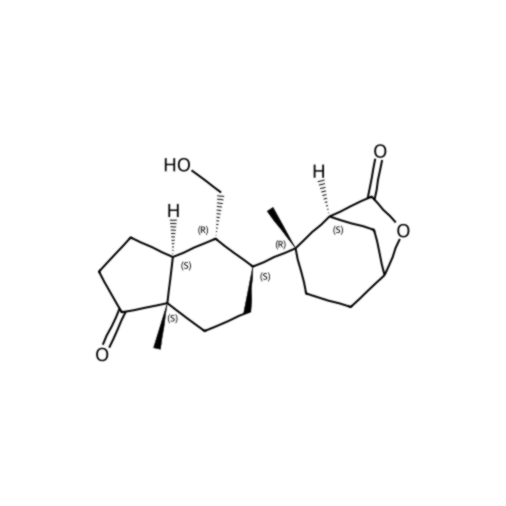 C[C@]1([C@H]2CC[C@]3(C)C(=O)CC[C@H]3[C@@H]2CO)CCC2C[C@@H]1C(=O)O2